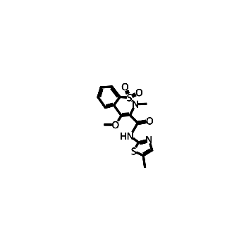 COC1=C(C(=O)Nc2ncc(C)s2)N(C)S(=O)(=O)c2ccccc21